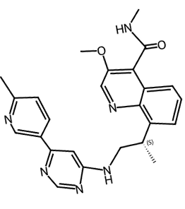 CNC(=O)c1c(OC)cnc2c([C@H](C)CNc3cc(-c4ccc(C)nc4)ncn3)cccc12